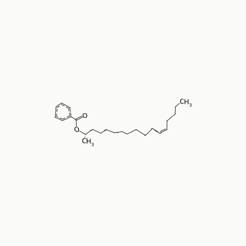 CCCC/C=C\CCCCCCCCC[C@H](C)OC(=O)c1ccccc1